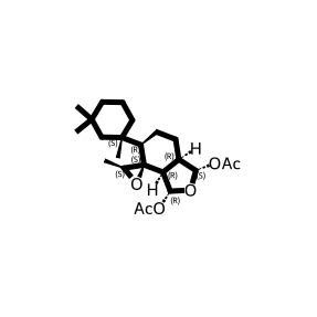 CC(=O)O[C@@H]1O[C@H](OC(C)=O)[C@@H]2[C@H]1CC[C@H]([C@@]1(C)CCCC(C)(C)C1)[C@]21O[C@H]1C